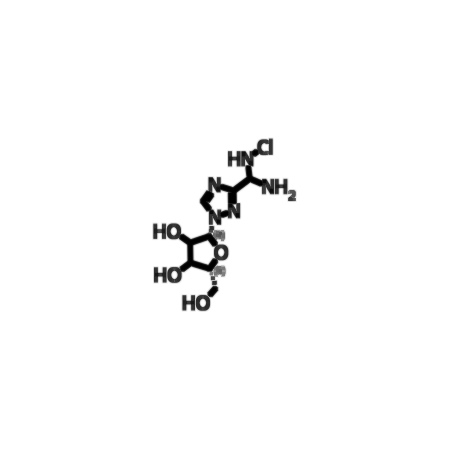 NC(NCl)c1ncn([C@@H]2O[C@H](CO)C(O)C2O)n1